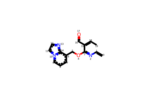 C=C/N=C(OCc1cccn2ccnc12)\C(C=O)=C/C